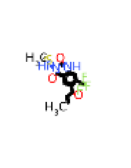 CCCC(=O)c1cc2c(=O)n(NSC)c(=O)[nH]c2cc1C(F)(F)F